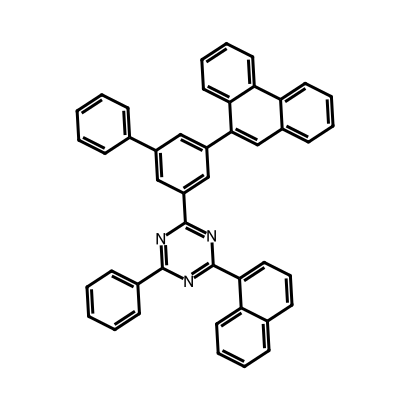 c1ccc(-c2cc(-c3nc(-c4ccccc4)nc(-c4cccc5ccccc45)n3)cc(-c3cc4ccccc4c4ccccc34)c2)cc1